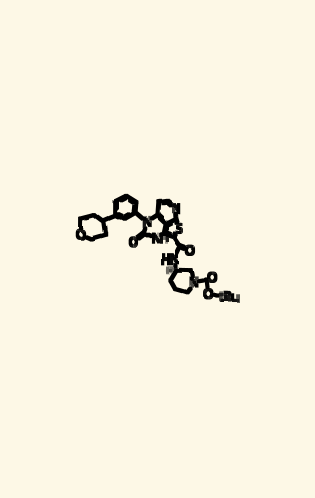 CC(C)(C)OC(=O)N1CCC[C@@H](NC(=O)c2sc3nccc4c3c2NC(=O)N4c2cccc(C3CCOCC3)c2)C1